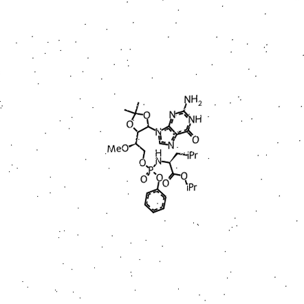 CO[C@H](COP(=O)(N[C@@H](CC(C)C)C(=O)OC(C)C)Oc1ccccc1)C1OC(C)(C)OC1n1cnc2c(=O)[nH]c(N)nc21